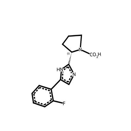 O=C(O)N1CCC[C@H]1c1ncc(-c2ccccc2F)[nH]1